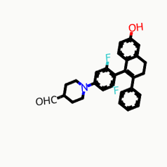 O=CC1CCN(c2cc(F)c(C3=C(c4ccccc4)CCc4cc(O)ccc43)c(F)c2)CC1